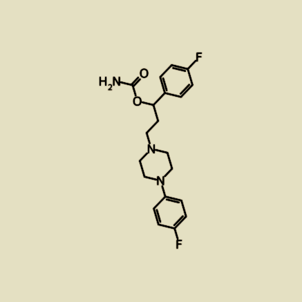 NC(=O)OC(CCN1CCN(c2ccc(F)cc2)CC1)c1ccc(F)cc1